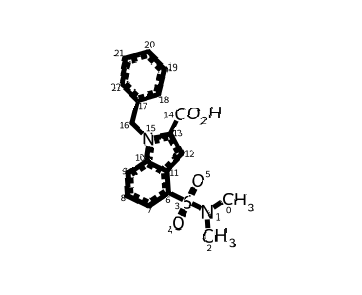 CN(C)S(=O)(=O)c1cccc2c1cc(C(=O)O)n2Cc1ccccc1